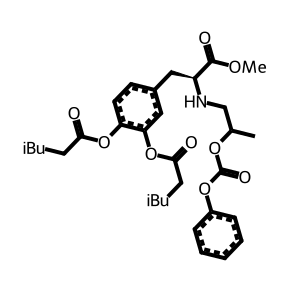 CCC(C)CC(=O)Oc1ccc(C[C@H](NCC(C)OC(=O)Oc2ccccc2)C(=O)OC)cc1OC(=O)CC(C)CC